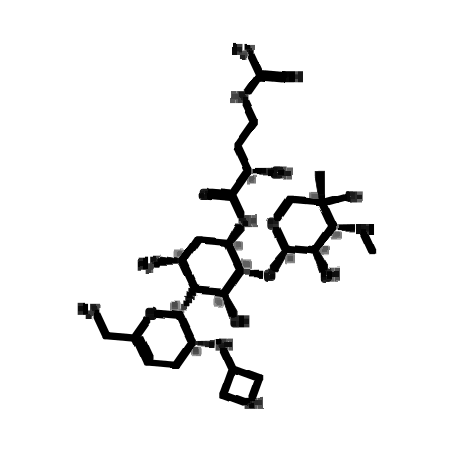 CN[C@@H]1[C@@H](O)[C@@H](O[C@H]2[C@H](NC(=O)[C@@H](O)CCNC(=N)N)C[C@H](N)C([C@H]3OC(CN)=CC[C@H]3NC3CNC3)[C@@H]2O)OC[C@]1(C)O